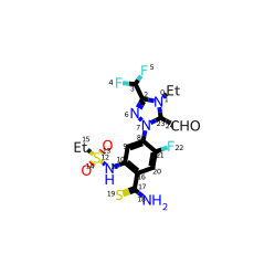 CCN1C(C(F)F)=NN(c2cc(NS(=O)(=O)CC)c(C(N)=S)cc2F)C1C=O